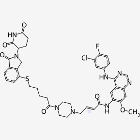 COc1cc2ncnc(Nc3ccc(F)c(Cl)c3)c2cc1NC(=O)/C=C/CN1CCN(C(=O)CCCCSc2cccc3c2CN(C2CCC(=O)NC2=O)C3=O)CC1